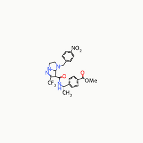 COC(=O)c1ccc([C@H](C)NC(=O)C2C(C(F)(F)F)=NN3CCN(Cc4ccc([N+](=O)[O-])cc4)C23)cc1